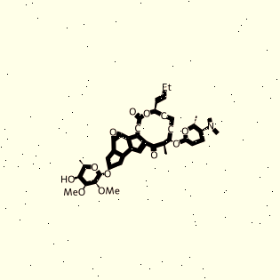 CC/C=C/[C@H]1CCC[C@H](OC2CC[C@H](N(C)C)[C@@H](C)O2)[C@@H](C)C(=O)C2=CC3C4C[C@H](O[C@@H]5O[C@@H](C)[C@H](O)[C@@H](OC)[C@H]5OC)CC4C4OC4C3C2CC(=O)O1